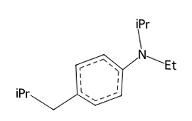 CCN(c1ccc(CC(C)C)cc1)C(C)C